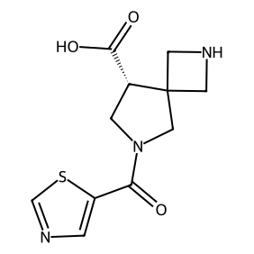 O=C(O)[C@H]1CN(C(=O)c2cncs2)CC12CNC2